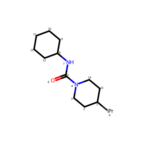 CC(C)C1CCN(C(=O)NC2CCCCC2)CC1